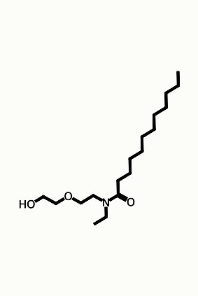 CCCCCCCCCCCC(=O)N(CC)CCOCCO